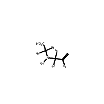 [2H]C(=C)C([2H])([2H])N([2H])C([2H])([2H])C(=O)O